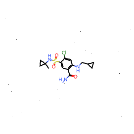 CC1(NS(=O)(=O)c2cc(C(N)=O)c(NCC3CC3)cc2Cl)CC1